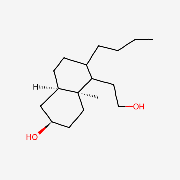 CCCCC1CC[C@@H]2C[C@H](O)CC[C@]2(C)C1CCO